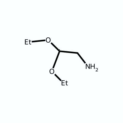 CCO[C](CN)OCC